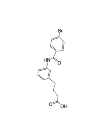 O=C(O)CCCc1cccc(NC(=O)c2ccc(Br)cc2)c1